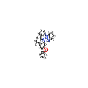 c1ccc(-n2c(-n3c4ccccc4c4cc5c(cc43)oc3ccccc35)nc3ccccc32)cc1